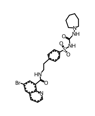 O=C(NN1CCCCCC1)NS(=O)(=O)c1ccc(CCNC(=O)c2cc(Br)cc3cccnc23)cc1